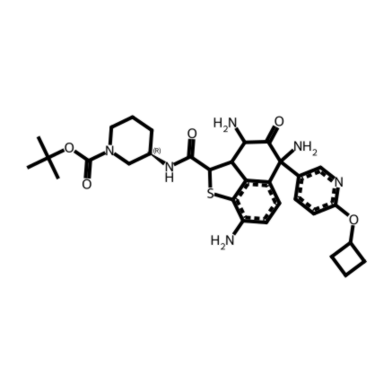 CC(C)(C)OC(=O)N1CCC[C@@H](NC(=O)C2Sc3c(N)ccc4c3C2C(N)C(=O)C4(N)c2ccc(OC3CCC3)nc2)C1